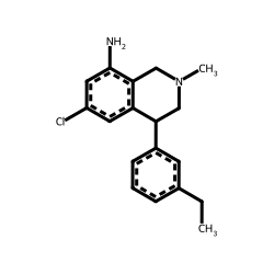 CCc1cccc(C2CN(C)Cc3c(N)cc(Cl)cc32)c1